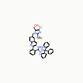 CCCCc1nc(Cl)c(CO)n1Cc1ccc2nc(-c3ccccc3C3=NNN(C(c4ccccc4)(c4ccccc4)c4ccccc4)N3)ccc2c1